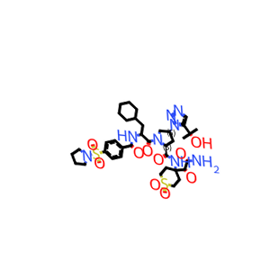 CC(C)(O)c1cnnn1[C@H]1C[C@@H](C(=O)NC2(C(=O)C(N)=O)CCS(=O)(=O)CC2)N(C(=O)C(CC2CCCCC2)NC(=O)c2ccc(S(=O)(=O)N3CCCC3)cc2)C1